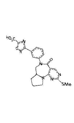 CSc1ncc2c(n1)N1CCCC1CN(c1cccc(-c3noc(C(=O)O)n3)c1)C2=O